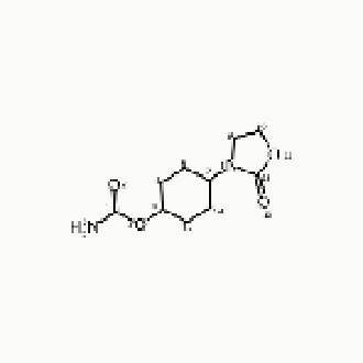 NC(=O)OC1CCC(N2CCOC2=O)CC1